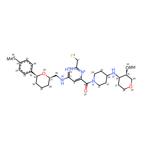 C=C(/C=C(\N=C(/N)CF)C(=O)N1CCC(N[C@@H]2CCOC[C@@H]2OC)CC1)NC[C@H]1CCC[C@@H](c2ccc(SC)cc2)O1